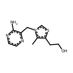 Cc1c(CCO)sc[n+]1Cc1nccnc1N